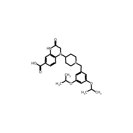 CC(C)Oc1cc(CN2CCC(N3CC(=O)Nc4cc(C(=O)O)ccc43)CC2)cc(OC(C)C)c1